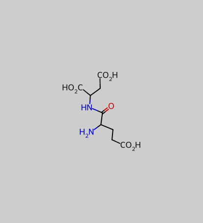 NC(CCC(=O)O)C(=O)NC(CC(=O)O)C(=O)O